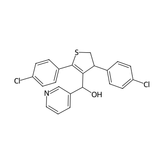 OC(C1=C(c2ccc(Cl)cc2)SCC1c1ccc(Cl)cc1)c1cccnc1